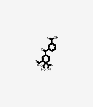 O=C(O)C1=CC(C(=O)c2cccc(C(=O)O)c2)C=CC1(C(=O)O)C(=O)O